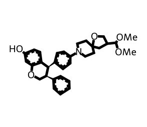 COC(OC)C1COC2(CCN(c3ccc([C@@H]4c5ccc(O)cc5OC[C@@H]4c4ccccc4)cc3)CC2)C1